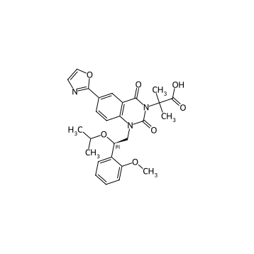 COc1ccccc1[C@H](Cn1c(=O)n(C(C)(C)C(=O)O)c(=O)c2cc(-c3ncco3)ccc21)OC(C)C